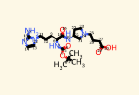 CC(C)(C)OC(=O)N[C@@H](CCCn1ccnc1N)C(=O)N[C@@H]1CCN(CCCC(=O)O)C1